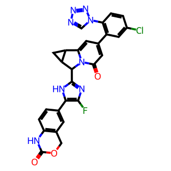 O=C1Nc2ccc(-c3[nH]c(C4C5CC5c5cc(-c6cc(Cl)ccc6-n6cnnn6)cc(=O)n54)nc3F)cc2CO1